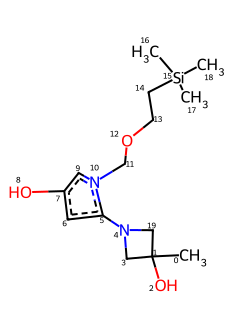 CC1(O)CN(c2cc(O)cn2COCC[Si](C)(C)C)C1